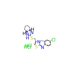 Cl.Cl.Clc1ccc2c(c1)CN1C(CSC3=N[C@@H]4CCCC[C@H]4N3)=CSC1=N2